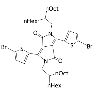 CCCCCCCCC(CCCCCC)CN1C(=O)C2=C(c3ccc(Br)s3)N(CC(CCCCCC)CCCCCCCC)C(=O)C2=C1c1ccc(Br)s1